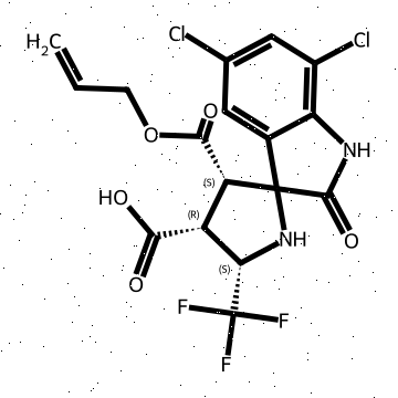 C=CCOC(=O)[C@H]1[C@@H](C(=O)O)[C@@H](C(F)(F)F)NC12C(=O)Nc1c(Cl)cc(Cl)cc12